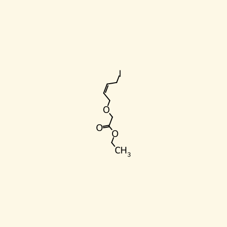 CCOC(=O)COC/C=C\CI